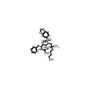 CC(C)(CCCCO)CN(C[C@@H](O)[C@H](Cc1ccccc1)NC(=O)O)S(=O)(=O)c1ccc2c(c1)OCO2